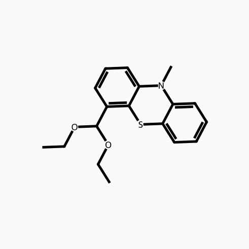 CCOC(OCC)c1cccc2c1Sc1ccccc1N2C